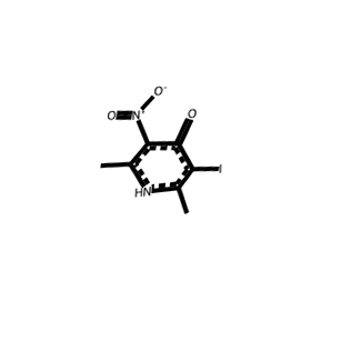 Cc1[nH]c(C)c([N+](=O)[O-])c(=O)c1I